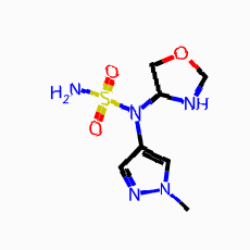 Cn1cc(N(C2COCN2)S(N)(=O)=O)cn1